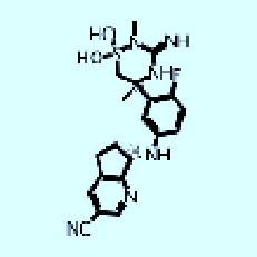 CN1C(=N)N[C@](C)(c2cc(N[C@H]3CCc4cc(C#N)cnc43)ccc2F)CS1(O)O